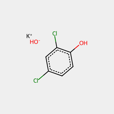 Oc1ccc(Cl)cc1Cl.[K+].[OH-]